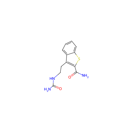 NC(=O)NCCc1c(C(N)=O)sc2ccccc12